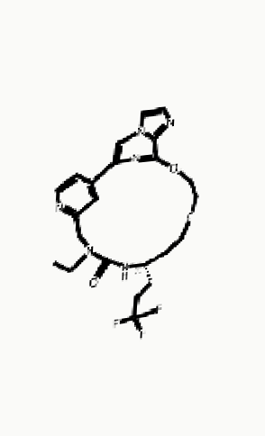 CCN1Cc2cc(ccn2)-c2cn3ccnc3c(n2)OCCCCC[C@H](CCC(F)(F)F)NC1=O